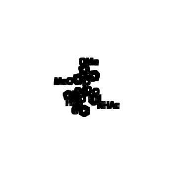 COc1ccc(C(OC[C@H]2O[C@@H](n3ccc(NC(C)=O)nc3=O)[C@@H](OC(C)=O)[C@@H]2O[P@@]2O[C@H](CS(=O)(=O)c3ccccc3)[C@@H]3CCCN32)(c2ccccc2)c2ccc(OC)cc2)cc1